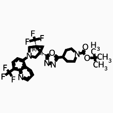 CC(C)(C)OC(=O)N1CCC(c2nnc([C@]34CN(c5ccc(C(F)(F)F)c6ncccc56)C[C@@]3(C(F)(F)F)C4)o2)CC1